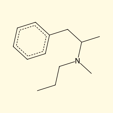 CCCN(C)C(C)Cc1ccccc1